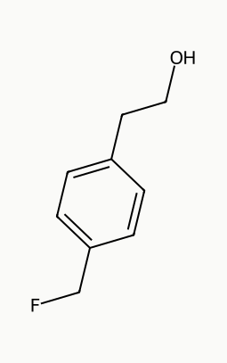 OCCc1ccc(CF)cc1